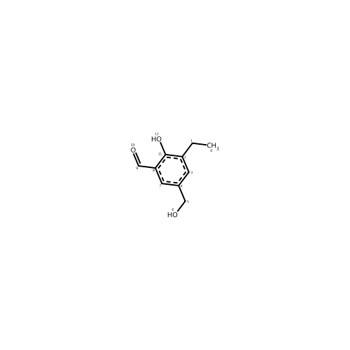 CCc1cc(CO)cc(C=O)c1O